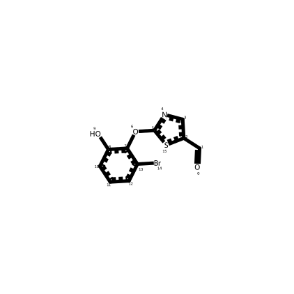 O=Cc1cnc(Oc2c(O)cccc2Br)s1